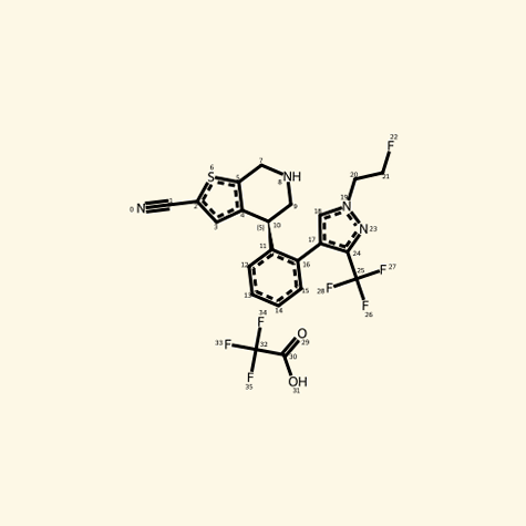 N#Cc1cc2c(s1)CNC[C@H]2c1ccccc1-c1cn(CCF)nc1C(F)(F)F.O=C(O)C(F)(F)F